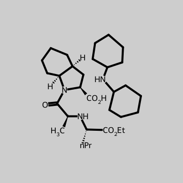 C1CCC(NC2CCCCC2)CC1.CCC[C@H](N[C@@H](C)C(=O)N1[C@H](C(=O)O)C[C@@H]2CCCC[C@@H]21)C(=O)OCC